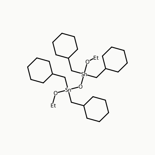 CC[O][Sn]([CH2]C1CCCCC1)([CH2]C1CCCCC1)[O][Sn]([CH2]C1CCCCC1)([CH2]C1CCCCC1)[O]CC